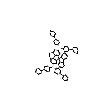 c1ccc(-c2ccc(N(c3ccc(-c4ccccc4)cc3)c3cc4c5c(ccc6cc(N(c7ccc(-c8ccccc8)cc7)c7ccc(-c8ccccc8)cc7)cc(c65)C45c4ccccc4-c4ccccc45)c3)cc2)cc1